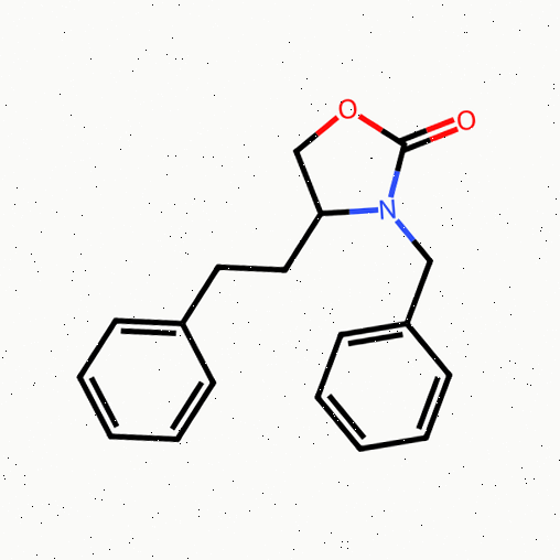 O=C1OCC(CCc2ccccc2)N1Cc1ccccc1